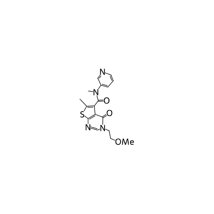 COCCn1cnc2sc(C)c(C(=O)N(C)c3cccnc3)c2c1=O